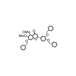 COc1c(OCc2ccccc2)cc2oc(-c3ccc(OCc4ccccc4)c(OCc4ccccc4)c3)cc(=O)c2c1OC